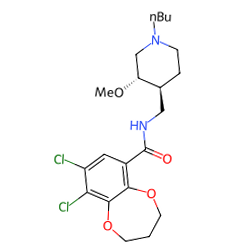 CCCCN1CC[C@@H](CNC(=O)c2cc(Cl)c(Cl)c3c2OCCCO3)[C@H](OC)C1